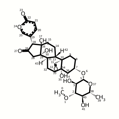 CO[C@@H]1[C@@H](O)[C@H](O[C@H]2CC[C@]3(C=O)[C@H]4CC[C@]5(C)[C@@H](c6ccc(=O)oc6)C(=O)C[C@]5(O)[C@@H]4CC[C@]3(O)C2)O[C@H](C)[C@H]1O